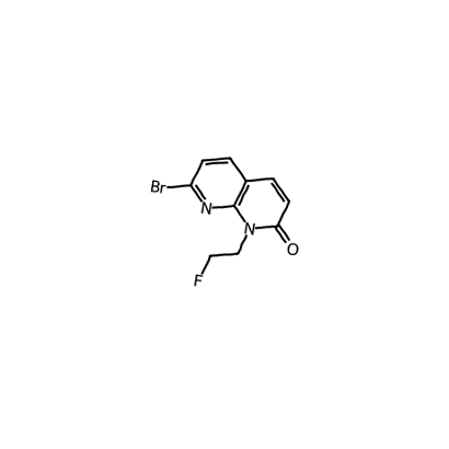 O=c1ccc2ccc(Br)nc2n1CCF